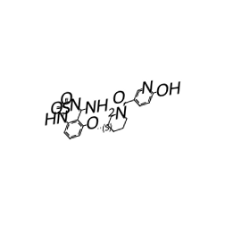 NC1=NS(=O)(=O)Nc2cccc(OC[C@H]3CCCN(C(=O)c4ccc(O)nc4)C3)c21